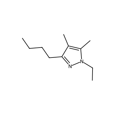 CCCCc1nn(CC)c(C)c1C